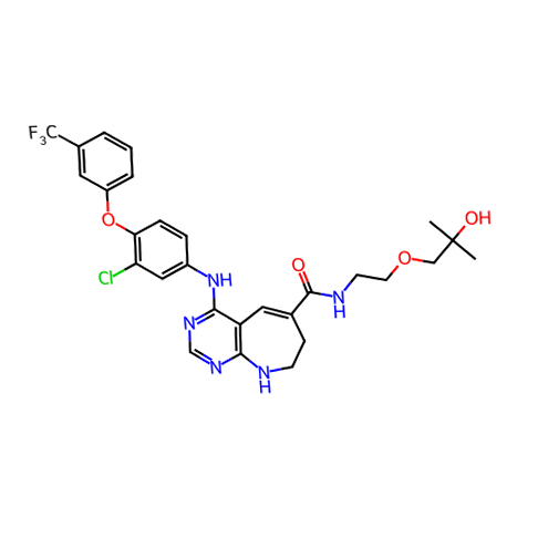 CC(C)(O)COCCNC(=O)C1=Cc2c(ncnc2Nc2ccc(Oc3cccc(C(F)(F)F)c3)c(Cl)c2)NCC1